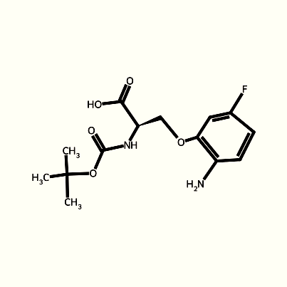 CC(C)(C)OC(=O)N[C@H](COc1cc(F)ccc1N)C(=O)O